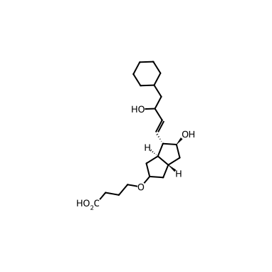 O=C(O)CCCOC1C[C@H]2C[C@H](O)[C@@H](C=CC(O)CC3CCCCC3)[C@@H]2C1